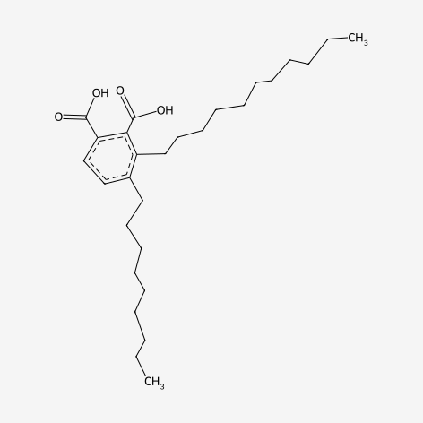 CCCCCCCCCCCc1c(CCCCCCCCC)ccc(C(=O)O)c1C(=O)O